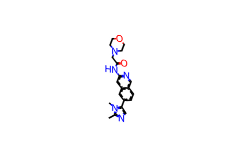 Cc1ncc(-c2ccc3cnc(NC(=O)CN4CCOCC4)cc3c2)n1C